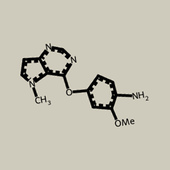 COc1cc(Oc2ncnc3ccn(C)c23)ccc1N